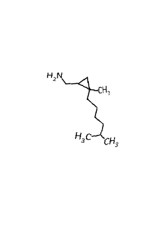 CC(C)CCCCC1(C)CC1CN